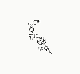 C=CCn1cc(-c2cnc3c(Nc4ccc(C(=O)N5CCN(C(=O)C6CCNCC6)CC5)c(CC)c4)nccn23)c(C(F)(F)F)n1